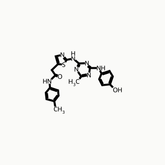 Cc1ccc(NC(=O)Cc2cnc(Nc3nc(C)nc(Nc4ccc(O)cc4)n3)s2)cc1